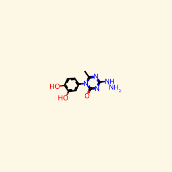 Cc1nc(NN)nc(=O)n1-c1ccc(O)c(O)c1